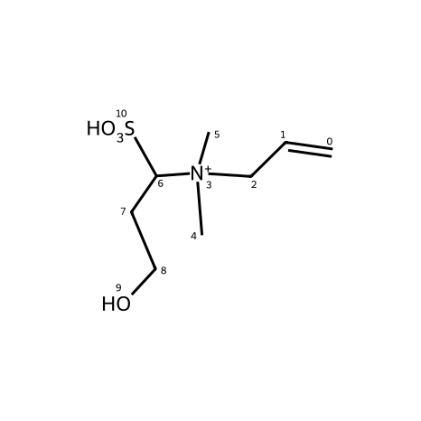 C=CC[N+](C)(C)C(CCO)S(=O)(=O)O